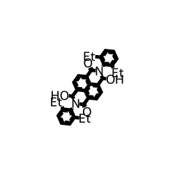 CCc1cccc(CC)c1N1C(=O)c2ccc3c4c(ccc(c24)C1O)C(=O)N(c1c(CC)cccc1CC)C3O